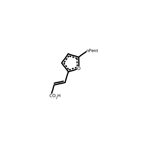 CCCCCc1ccc(C=CC(=O)O)o1